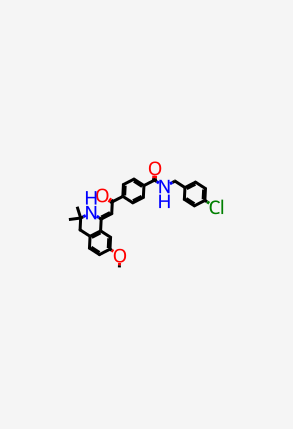 COc1ccc2c(c1)C(=CC(=O)c1ccc(C(=O)NCc3ccc(Cl)cc3)cc1)NC(C)(C)C2